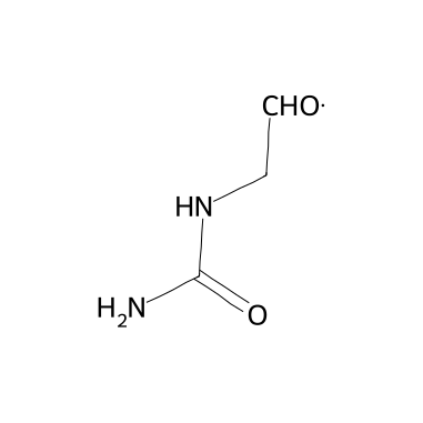 NC(=O)NC[C]=O